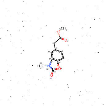 COC(=O)Cc1ccc2oc(=O)n(C)c2c1